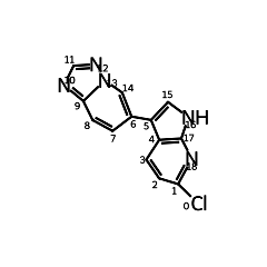 Clc1ccc2c(-c3ccc4ncnn4c3)c[nH]c2n1